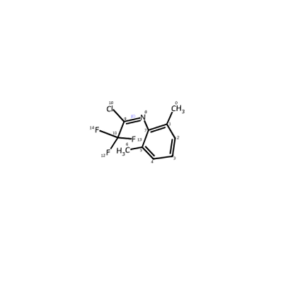 Cc1cccc(C)c1/N=C(/Cl)C(F)(F)F